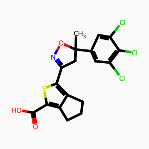 CC1(c2cc(Cl)c(Cl)c(Cl)c2)CC(c2sc(C(=O)O)c3c2CCC3)=NO1